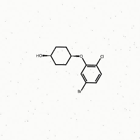 O[C@H]1CC[C@@H](Oc2cc(Br)ccc2Cl)CC1